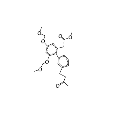 COCOc1cc(CC(=O)OC)c(-c2cccc(CCC(C)=O)c2)c(OCOC)c1